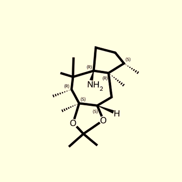 C[C@@H]1C(C)(C)[C@]2(N)CC[C@H](C)[C@@]2(C)C[C@@H]2OC(C)(C)O[C@]21C